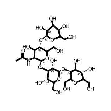 CC(=O)NC1C(O)[C@H](O[C@@H]2OC(CO)[C@H](O)C(O)[C@@H]2O)C(CO)O[C@H]1OC1[C@@H](O)C(CO)O[C@@H](O[C@@H]2C(CO)OC(CO)[C@@H](O)C2O)[C@H]1O